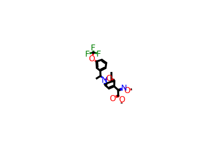 CON=C(C(=O)OC)c1cc2cc(C)c1ON2C(C)c1cccc(OC(F)(F)F)c1